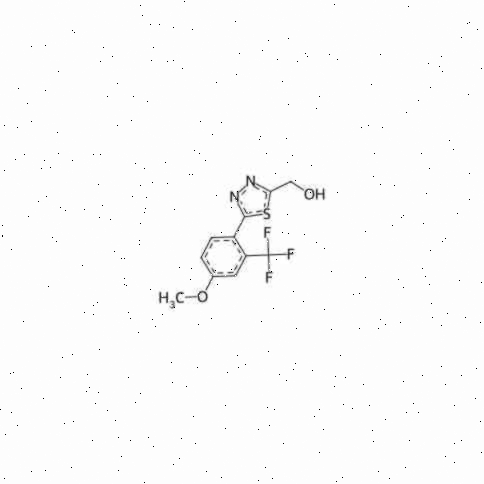 COc1ccc(-c2nnc(CO)s2)c(C(F)(F)F)c1